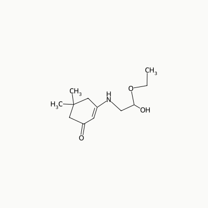 CCOC(O)CNC1=CC(=O)CC(C)(C)C1